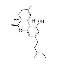 C=C1Oc2cc(CCC(C)CC)cc(O)c2[C@@H]2C=C(C)CC[C@@H]12